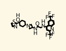 O=C(CNc1cc(C(F)(F)F)nc2ccc(C(F)(F)F)cc12)NC1CN([C@H]2CC[C@](O)(c3nccs3)CC2)C1